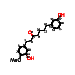 COc1ccc(CCC(=O)CCCCc2cccc(O)c2)cc1O